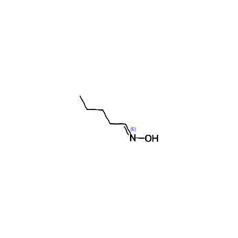 CCCC/C=N/O